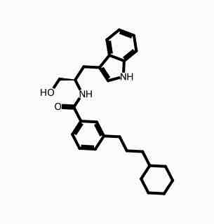 O=C(N[C@@H](CO)Cc1c[nH]c2ccccc12)c1cccc(CCCC2CCCCC2)c1